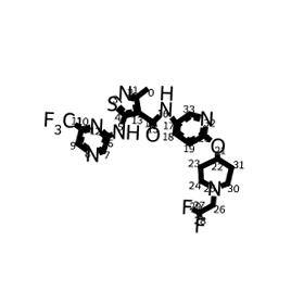 Cc1nsc(Nc2cncc(C(F)(F)F)n2)c1C(=O)Nc1ccc(OC2CCN(CC(F)F)CC2)nc1